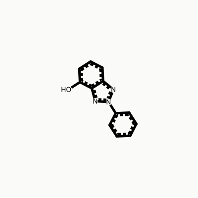 Oc1cccc2nn(-c3ccccc3)nc12